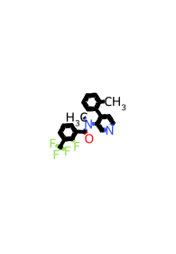 Cc1ccccc1-c1ccncc1N(C)C(=O)c1cccc(C(F)(F)F)c1F